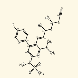 CC(C)c1nc(N(C)S(C)(=O)=O)nc(-c2ccc(F)cc2)c1/C=C/[C@@H](O)C[C@@H](O)CC#N